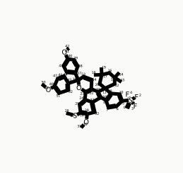 C=S(F)(F)(F)c1ccc2c(c1)C1(CC(C)(C)CC(C)(C)C1)c1c3c(c4cc(SC)c(OC)cc4c1-2)OC(c1ccc(OC)cc1)(c1ccc(OC)cc1)C=C3